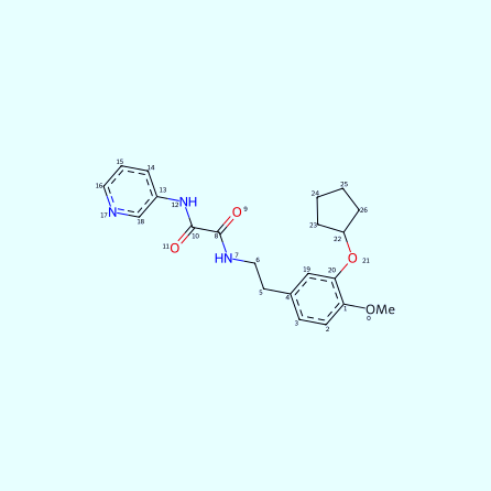 COc1ccc(CCNC(=O)C(=O)Nc2cccnc2)cc1OC1CCCC1